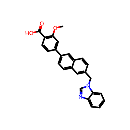 COc1cc(-c2ccc3cc(Cn4cnc5ccccc54)ccc3c2)ccc1C(=O)O